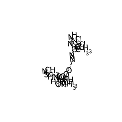 COc1cc(Nc2c(C#N)cnc3cc(OCCCN4CCN(CCCCCCOCCOCC(=O)NC(C(=O)N5C[C@H](O)C[C@H]5C(=O)NCc5ccc(-c6scnc6C)cc5)C(C)(C)C)CC4)c(OC)cc23)c(Cl)cc1Cl